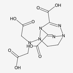 O=C(O)CN(CC(=O)O)N1CCN2N=C(C(=O)O)N1C(C(=O)O)=N2